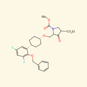 CCOC(=O)C1CN(C(=O)OC(C)(C)C)C(CO[C@H]2CC[C@@H](c3cc(F)cc(F)c3OCc3ccccc3)CC2)C1=O